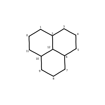 C1CC2CCCC3CCCC(C1)C23